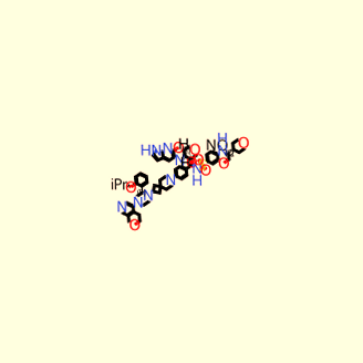 CC(C)Oc1ccccc1[C@@H]1CN(c2cncc3c2CCOC3)CCN1C1CC2(CCN(c3ccc(C(=O)NS(=O)(=O)c4cc5c(c([N+](=O)[O-])c4)N[C@H](C4CCOCC4)CO5)c(N4c5cc6cc[nH]c6nc5O[C@H]5COCC[C@@H]54)c3)CC2)C1